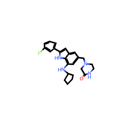 O=C1CN(Cc2cc(NC3CCCC3)c3[nH]c(-c4cccc(F)c4)cc3c2)CCN1